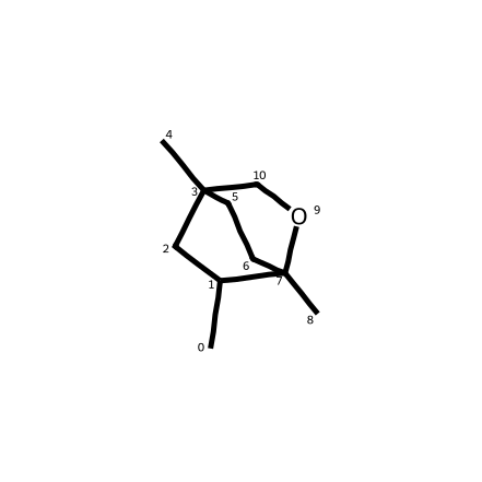 CC1CC2(C)CCC1(C)OC2